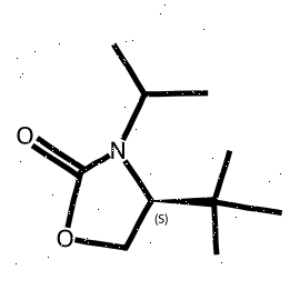 CC(C)N1C(=O)OC[C@@H]1C(C)(C)C